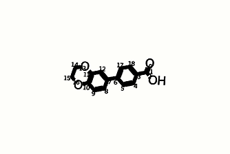 O=C(O)c1ccc(-c2ccc3c(c2)OCCO3)cc1